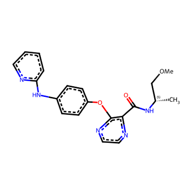 COC[C@H](C)NC(=O)c1nccnc1Oc1ccc(Nc2ccccn2)cc1